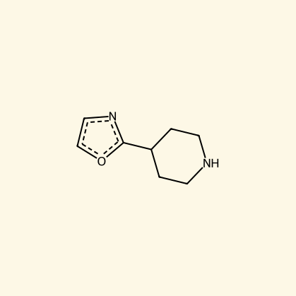 c1coc(C2CCNCC2)n1